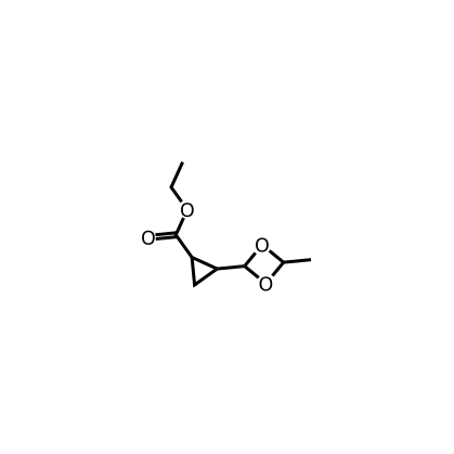 CCOC(=O)C1CC1C1OC(C)O1